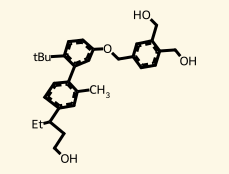 CCC(CCO)c1ccc(-c2cc(OCc3ccc(CO)c(CO)c3)ccc2C(C)(C)C)c(C)c1